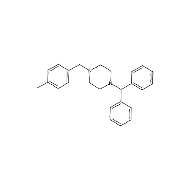 Cc1ccc(CN2CCN(C(c3ccccc3)c3ccccc3)CC2)cc1